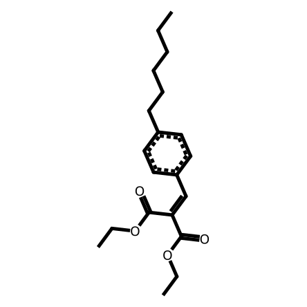 CCCCCCc1ccc(C=C(C(=O)OCC)C(=O)OCC)cc1